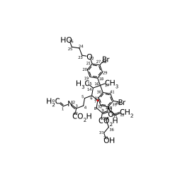 C=CN=C(CCC(CCC(=NC=C)C(=O)O)C(C)C(C)(c1ccc(OCCCO)c(Br)c1)c1ccc(OCCCO)c(Br)c1)C(=O)O